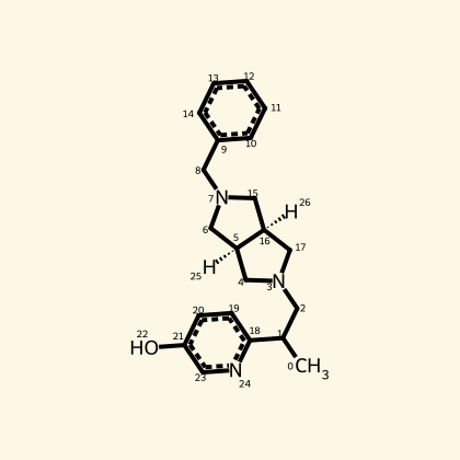 CC(CN1C[C@H]2CN(Cc3ccccc3)C[C@H]2C1)c1ccc(O)cn1